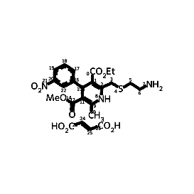 CCOC(=O)C1=C(CSCCN)NC(C)=C(C(=O)OC)C1c1cccc([N+](=O)[O-])c1.O=C(O)C=CC(=O)O